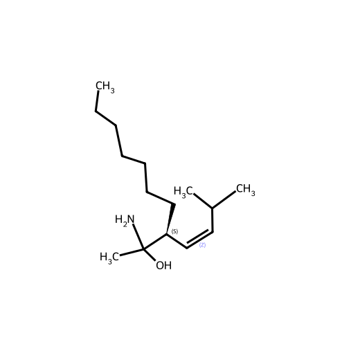 CCCCCCC[C@@H](/C=C\C(C)C)C(C)(N)O